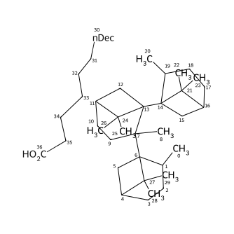 CC1CCC2CC1(C1(C)CCC3CC1(C14CC(CCC1C)C4(C)C)C3(C)C)C2(C)C.CCCCCCCCCCCCCCCC(=O)O